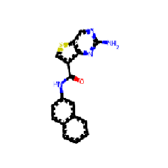 Nc1ncc2scc(C(=O)Nc3ccc4ccccc4c3)c2n1